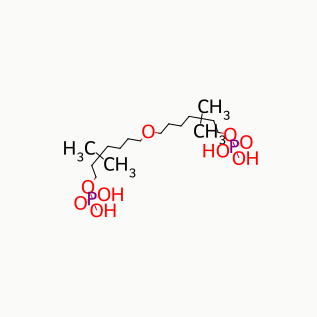 CC(C)(CCCCOCCCCC(C)(C)CCOP(=O)(O)O)CCOP(=O)(O)O